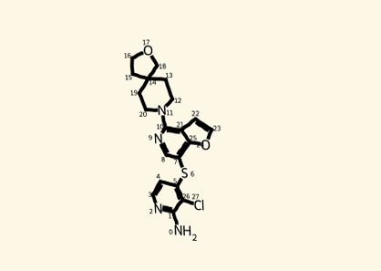 Nc1nccc(Sc2cnc(N3CCC4(CCOC4)CC3)c3ccoc23)c1Cl